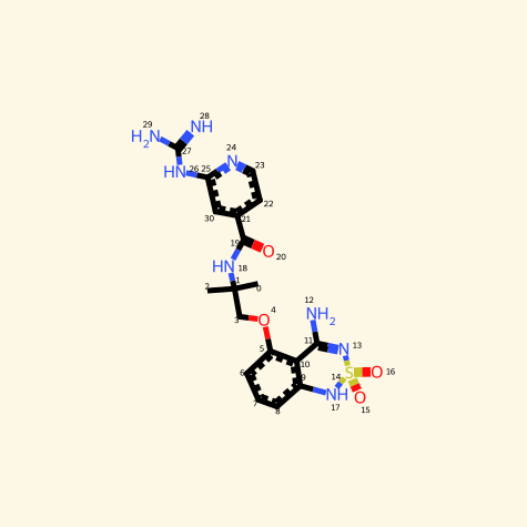 CC(C)(COc1cccc2c1C(N)=NS(=O)(=O)N2)NC(=O)c1ccnc(NC(=N)N)c1